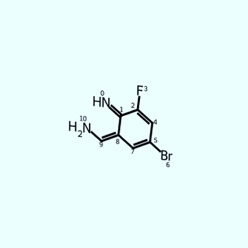 N=C1C(F)=CC(Br)=C/C1=C/N